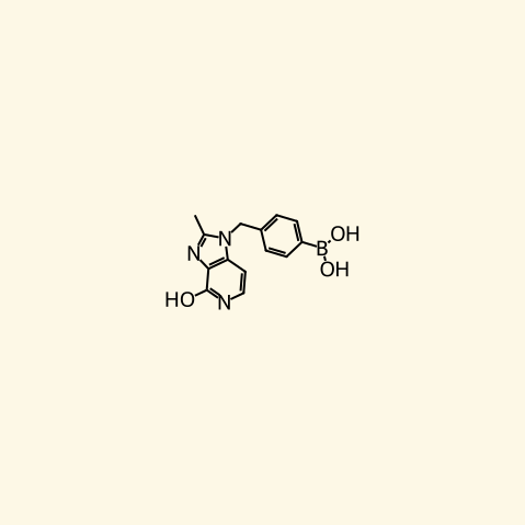 Cc1nc2c(O)nccc2n1Cc1ccc(B(O)O)cc1